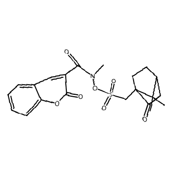 CN(OS(=O)(=O)CC12CCC(CC1=O)C2(C)C)C(=O)c1cc2ccccc2oc1=O